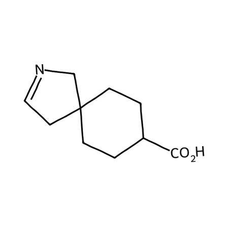 O=C(O)C1CCC2(CC=NC2)CC1